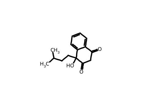 CC(C)CCC1(O)C(=O)CC(=O)c2ccccc21